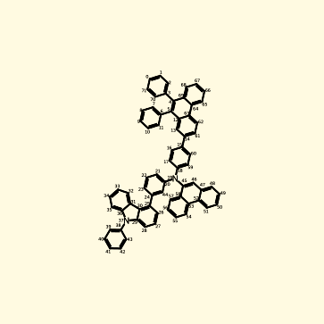 c1ccc(-c2c(-c3ccccc3)c3cc(-c4ccc(N(c5cccc(-c6cccc7c6c6ccccc6n7-c6ccccc6)c5)c5cc6ccccc6c6ccccc56)cc4)ccc3c3ccccc23)cc1